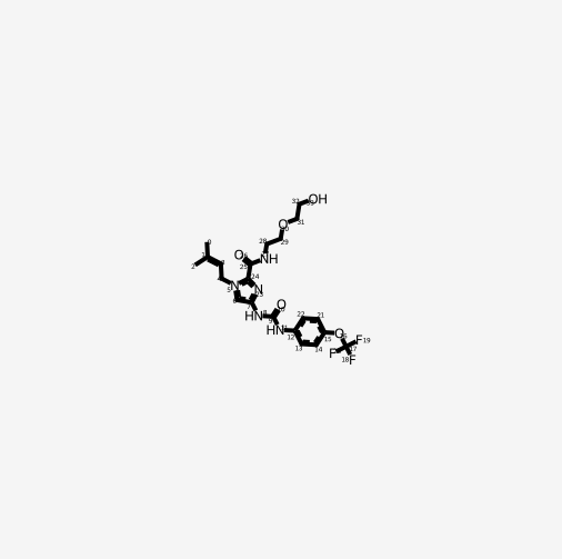 CC(C)=CCn1cc(NC(=O)Nc2ccc(OC(F)(F)F)cc2)nc1C(=O)NCCOCCO